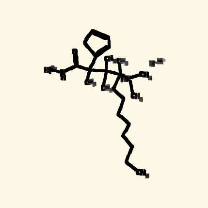 CCCCCCCCC(C)([SiH](C)C)C(C)(C)C(C)(C(=O)[NH][Hf+2])C1=CC=CC1.[H-].[H-]